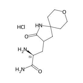 Cl.NC(=O)[C@@H](N)CC1CC2(CCOCC2)NC1=O